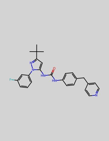 CC(C)(C)c1cc(NC(=O)Nc2ccc(Cc3ccncc3)cc2)n(-c2cccc(F)c2)n1